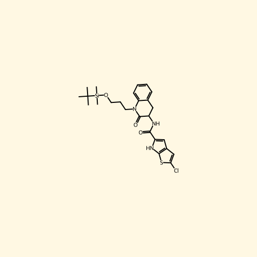 CC(C)(C)[Si](C)(C)OCCCN1C(=O)C(NC(=O)c2cc3cc(Cl)sc3[nH]2)Cc2ccccc21